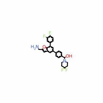 NCc1cc2cc(-c3ccc(C(O)N4CCC(F)(F)CC4)cc3)cc(-c3ccc(F)c(F)c3)c2o1